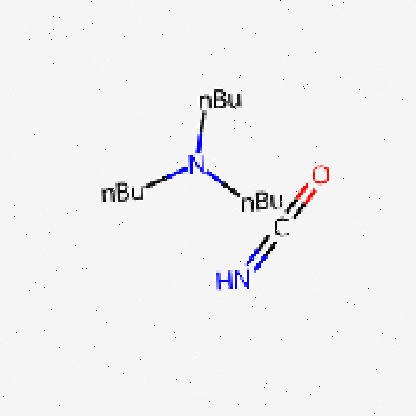 CCCCN(CCCC)CCCC.N=C=O